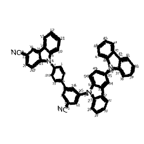 N#Cc1cc(-c2ccc(-n3c4ccccc4c4cc(C#N)ccc43)cc2)cc(-n2c3ccccc3c3cc(-n4c5ccccc5c5ccccc54)ccc32)c1